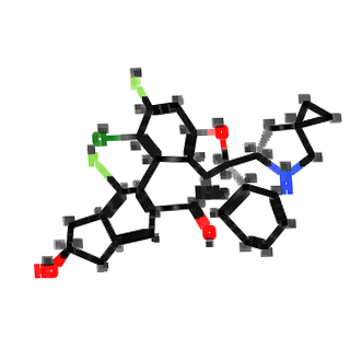 CNC(=O)c1cc2c(c(F)c1-c1c(Cl)c(F)cc3c1C[C@](c1ccccc1)([C@@H]1CC4(CC4)CN1)O3)C[C@H](O)C2